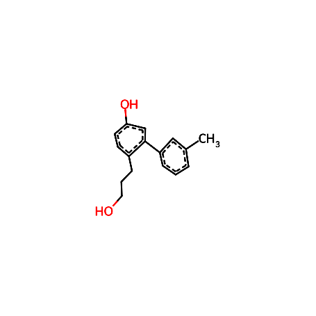 Cc1cccc(-c2cc(O)ccc2CCCO)c1